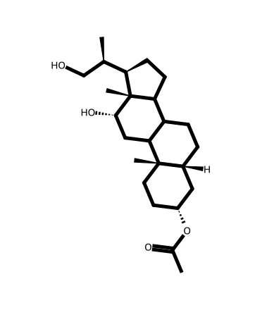 CC(=O)O[C@@H]1CC[C@]2(C)C3C[C@H](O)[C@@]4(C)C(CC[C@@H]4[C@H](C)CO)C3CC[C@@H]2C1